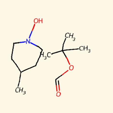 CC(C)(C)OC=O.CC1CCN(O)CC1